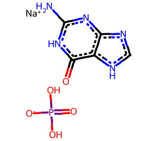 Nc1nc2nc[nH]c2c(=O)[nH]1.O=P([O-])(O)O.[Na+]